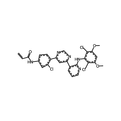 C=CC(=O)Nc1ccc(-c2cc(-c3cccnc3Nc3c(Cl)c(OC)cc(OC)c3Cl)ncn2)c(Cl)c1